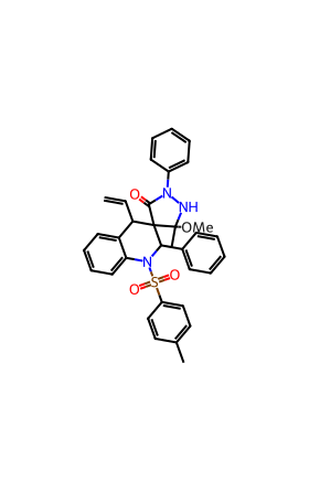 C=CC1c2ccccc2N(S(=O)(=O)c2ccc(C)cc2)C(c2ccccc2)C12C(=O)N(c1ccccc1)NC2(C)OC